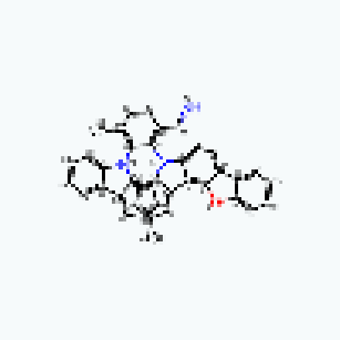 CC(C)(C)c1ccc2c(c1)c1c3oc4ccccc4c3ccc1n2-c1c(C=N)ccc(C#N)c1-n1c2ccccc2c2ccccc21